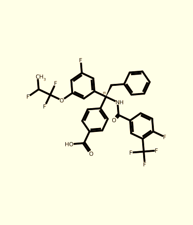 CC(F)C(F)(F)Oc1cc(F)cc([C@](Cc2ccccc2)(NC(=O)c2ccc(F)c(C(F)(F)F)c2)c2ccc(C(=O)O)cc2)c1